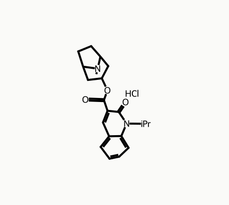 CC(C)n1c(=O)c(C(=O)OC2CC3CCC(C2)N3C)cc2ccccc21.Cl